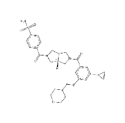 NS(=O)(=O)c1ccc(C(=O)N2CC3CN(C(=O)c4cc(OCC5CCOCC5)cc(C5CC5)c4)C[C@@H]3C2)cc1